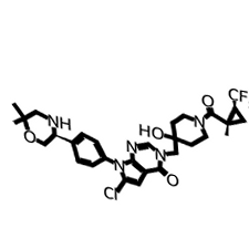 CC1(C)CN[C@@H](c2ccc(-n3c(Cl)cc4c(=O)n(CC5(O)CCN(C(=O)[C@@]6(C)C[C@@H]6C(F)(F)F)CC5)cnc43)cc2)CO1